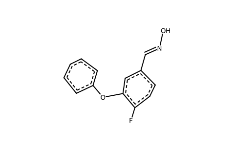 ON=Cc1ccc(F)c(Oc2ccccc2)c1